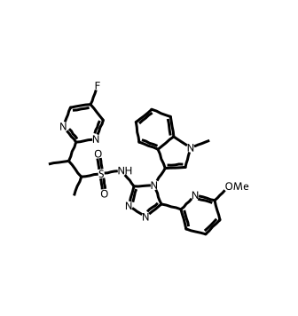 COc1cccc(-c2nnc(NS(=O)(=O)C(C)C(C)c3ncc(F)cn3)n2-c2cn(C)c3ccccc23)n1